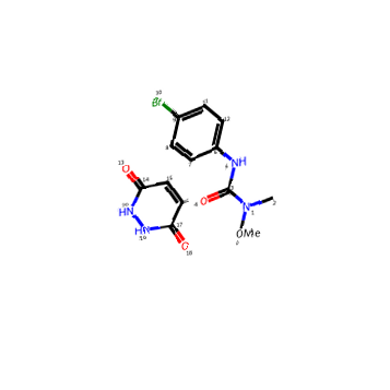 CON(C)C(=O)Nc1ccc(Br)cc1.O=c1ccc(=O)[nH][nH]1